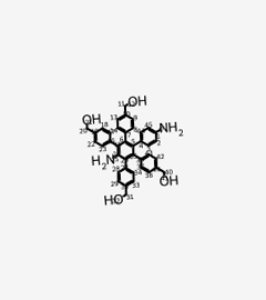 Nc1ccc(-c2c(-c3ccc(CO)cc3)c(-c3ccc(CO)cc3)c(N)c(-c3ccc(CO)cc3)c2-c2ccc(CO)cc2)cc1